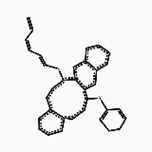 C=C/C=C\C=C\Sc1ccc2ccccc2ccc(SC2=CCCC=C2)c2cc3ccccc3cc12